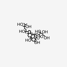 CC(C)C(O)(CO)CCC(C)(O)C1CCC2(C)C3CCC4C(C)(C(=O)OC5OC(CO)C(O)C(O)C5O)C(O)CC(O)C45CC35CCC12C